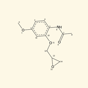 COc1ccc(NC(C)=O)c(OCC2CO2)c1